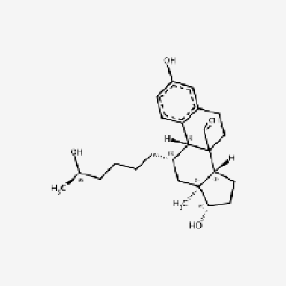 C=CC12CCc3cc(O)ccc3[C@H]1[C@@H](CCCC[C@@H](C)O)C[C@]1(C)[C@@H](O)CC[C@@H]21